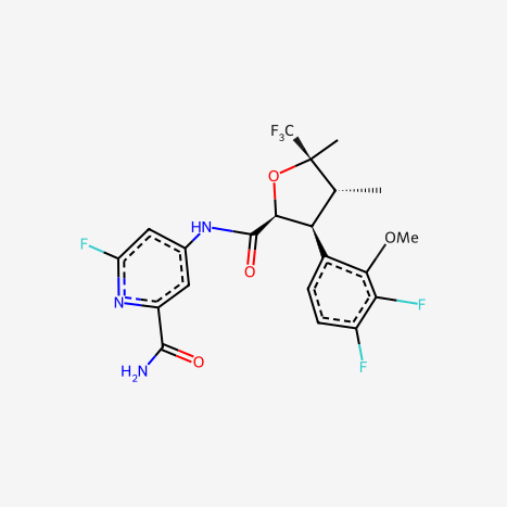 COc1c([C@H]2[C@@H](C(=O)Nc3cc(F)nc(C(N)=O)c3)O[C@@](C)(C(F)(F)F)[C@@H]2C)ccc(F)c1F